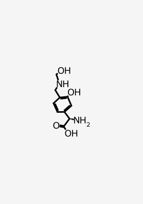 N[C@@H](C(=O)O)c1ccc(CNCO)c(O)c1